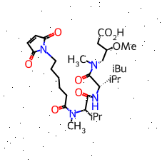 CC[C@H](C)[C@@H]([C@@H](CC(=O)O)OC)N(C)C(=O)[C@@H](NC(=O)C(C(C)C)N(C)C(=O)CCCCCN1C(=O)C=CC1=O)C(C)C